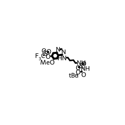 COc1cc2c(NCCCCNS(=O)(=O)NC(=O)OC(C)(C)C)ncnc2cc1OS(=O)(=O)C(F)(F)F